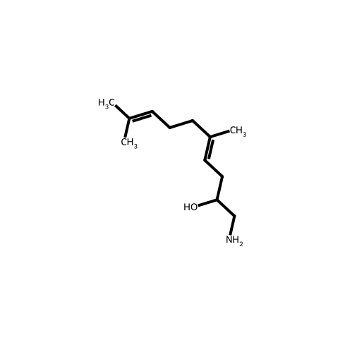 CC(C)=CCCC(C)=CCC(O)CN